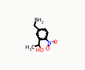 BCc1ccc([N+](=O)[O-])c(C(C)O)c1